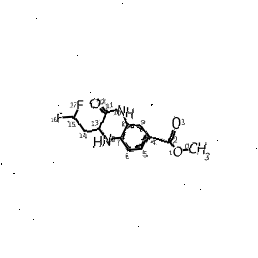 COC(=O)c1ccc2c(c1)NC(=O)C(CC(F)F)N2